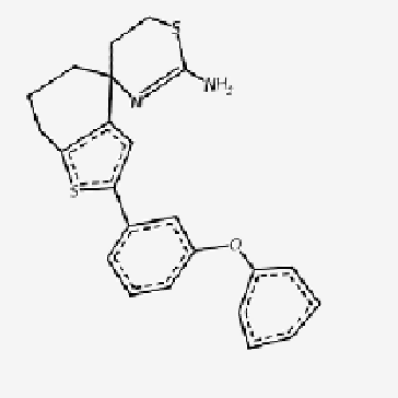 NC1=NC2(CCCc3sc(-c4cccc(Oc5ccccc5)c4)cc32)CCS1